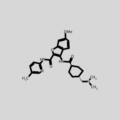 COc1ccc2c(NC(=O)[C@H]3CC[C@H](CN(C)C)CC3)c(C(=O)Nc3ccc(C)cn3)oc2c1